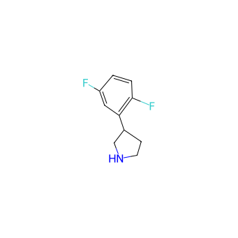 Fc1ccc(F)c(C2CCNC2)c1